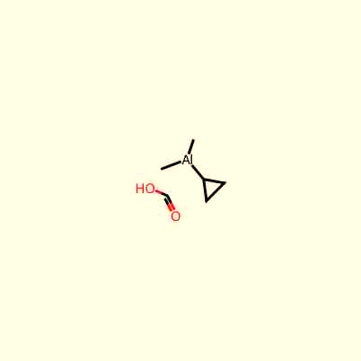 O=CO.[CH3][Al]([CH3])[CH]1CC1